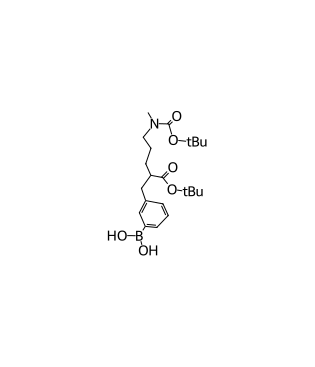 CN(CCCC(Cc1cccc(B(O)O)c1)C(=O)OC(C)(C)C)C(=O)OC(C)(C)C